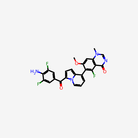 COc1cc2c(c(F)c1-c1cccn3c(C(=O)c4cc(F)c(N)c(F)c4)ccc13)c(=O)ncn2C